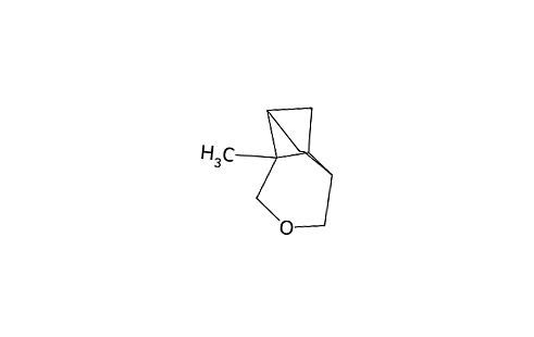 CC12COCC3CCC1CC32